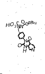 CC(C)(C)OC(=O)N[C@@H](Cc1ccc(-n2c(=O)[nH]c3cnccc3c2=O)cc1)C(=O)O